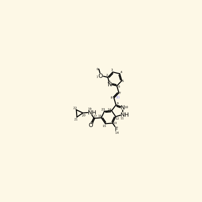 COc1cccc(/C=C/c2n[nH]c3c(F)cc(C(=O)NC4CC4)cc23)n1